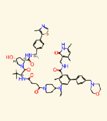 CCN(c1cc(-c2ccc(CN3CCOCC3)cc2)cc(C(=O)NCc2c(C)cc(C)[nH]c2=O)c1C)C1CCN(C(=O)CCC(=O)N[C@H](C(=O)N2C[C@H](O)C[C@H]2C(=O)N[C@@H](C)c2ccc(-c3scnc3C)cc2)C(C)(C)C)CC1